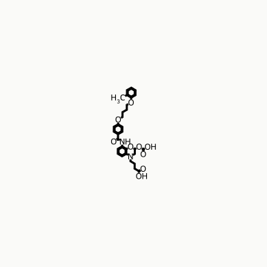 Cc1ccccc1OCCCCOc1ccc(C(=O)Nc2cccc3c2OC(OC(=O)O)CN3CCCC(=O)O)cc1